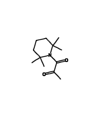 CC(=O)C(=O)N1C(C)(C)CCCC1(C)C